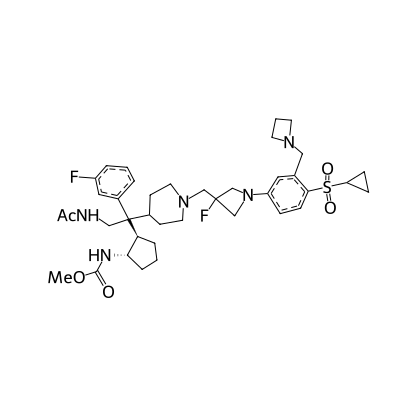 COC(=O)N[C@H]1CCC[C@@H]1C(CNC(C)=O)(c1cccc(F)c1)C1CCN(CC2(F)CN(c3ccc(S(=O)(=O)C4CC4)c(CN4CCC4)c3)C2)CC1